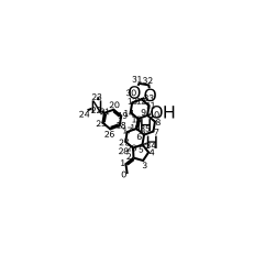 CC=C1CC[C@H]2[C@@H]3CC[C@@]4(O)CC5(CCC4=C3[C@@H](c3ccc(N(C)C)cc3)C[C@]12C)OCCO5